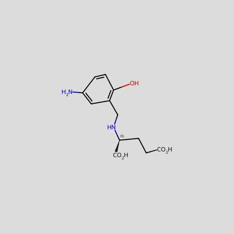 Nc1ccc(O)c(CN[C@@H](CCC(=O)O)C(=O)O)c1